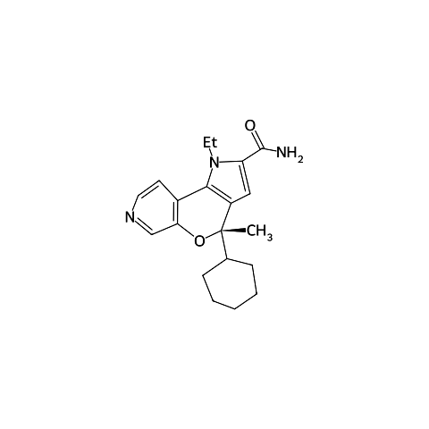 CCn1c(C(N)=O)cc2c1-c1ccncc1O[C@@]2(C)C1CCCCC1